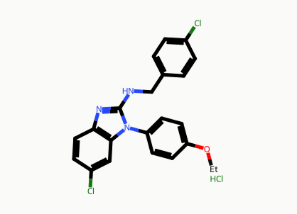 CCOc1ccc(-n2c(NCc3ccc(Cl)cc3)nc3ccc(Cl)cc32)cc1.Cl